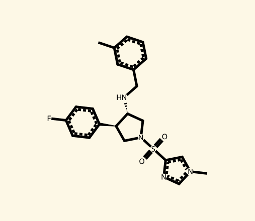 Cc1cccc(CN[C@@H]2CN(S(=O)(=O)c3cn(C)cn3)C[C@H]2c2ccc(F)cc2)c1